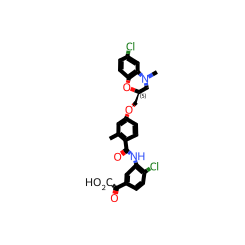 Cc1cc(OC[C@@H]2CN(C)c3cc(Cl)ccc3O2)ccc1C(=O)Nc1cc(C(=O)C(=O)O)ccc1Cl